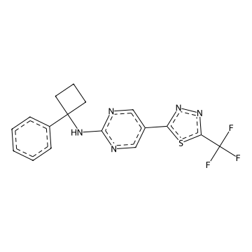 FC(F)(F)c1nnc(-c2cnc(NC3(c4ccccc4)CCC3)nc2)s1